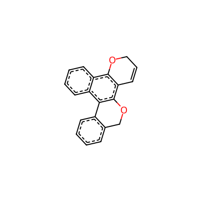 C1=Cc2c3c(c4ccccc4c2OC1)-c1ccccc1CO3